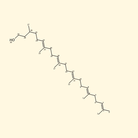 CC(C)=CCC/C(C)=C/CC/C(C)=C/CC/C(C)=C/CC/C(C)=C/CCC(C)CCO